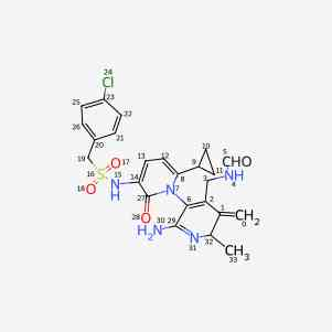 C=C1C(CNC=O)=C(n2c(C3CC3)ccc(NS(=O)(=O)Cc3ccc(Cl)cc3)c2=O)C(N)=NC1C